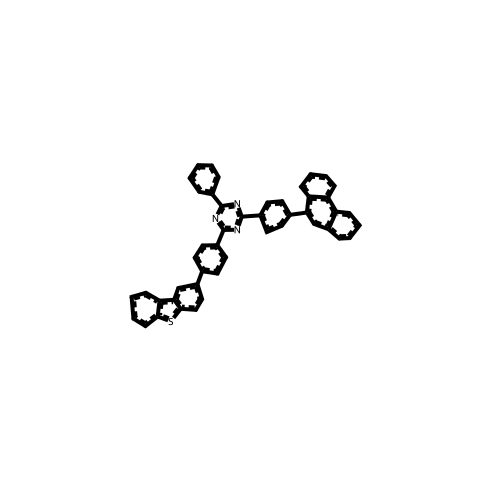 c1ccc(-c2nc(-c3ccc(-c4ccc5sc6ccccc6c5c4)cc3)nc(-c3ccc(-c4cc5ccccc5c5ccccc45)cc3)n2)cc1